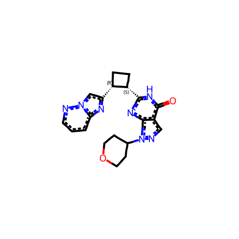 O=c1[nH]c([C@H]2CC[C@H]2c2cn3ncccc3n2)nc2c1cnn2C1CCOCC1